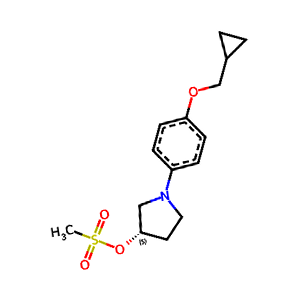 CS(=O)(=O)O[C@H]1CCN(c2ccc(OCC3CC3)cc2)C1